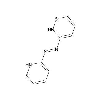 C1=CSNC(N=NC2=CC=CSN2)=C1